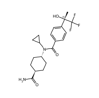 C[C@](O)(c1ccc(C(=O)N(C2CC2)[C@H]2CC[C@H](C(N)=O)CC2)cc1)C(F)(F)F